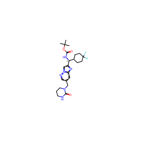 CC(C)(C)OC(=O)N[C@H](c1cn2ncc(CN3CCCNC3=O)cc2n1)C1CCC(F)(F)CC1